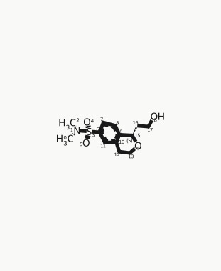 CN(C)S(=O)(=O)c1ccc2c(c1)CCO[C@H]2CCO